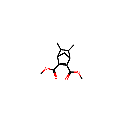 COC(=O)C1=C(C(=O)OC)C2CC1C(C)C2C